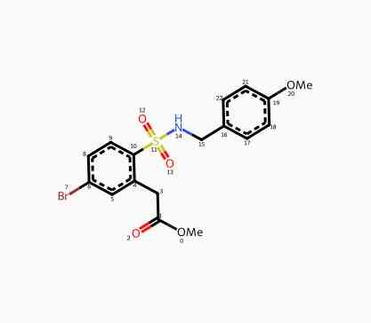 COC(=O)Cc1cc(Br)ccc1S(=O)(=O)NCc1ccc(OC)cc1